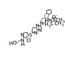 CC(C)(C)[S+]([O-])N[C@@H]1c2ccccc2CC12CCN(c1cnc3nc(Sc4ccnc(NCCO)c4Cl)ccc3n1)CC2